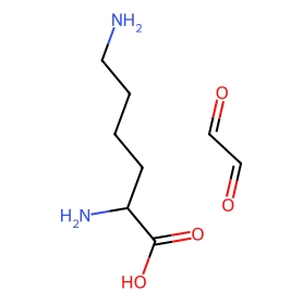 NCCCCC(N)C(=O)O.O=CC=O